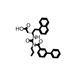 CCCN(C(=O)N[C@H](CC(=O)O)Cc1cccc2ccccc12)C(=O)c1cccc(-c2ccccc2)c1